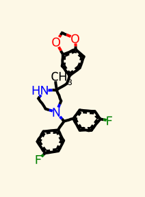 CC1(Cc2ccc3c(c2)OCO3)CN(C(c2ccc(F)cc2)c2ccc(F)cc2)CCN1